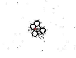 CC1(C)CCCC(C)(C)C1(O)c1ccccc1-c1cccc2ccccc12